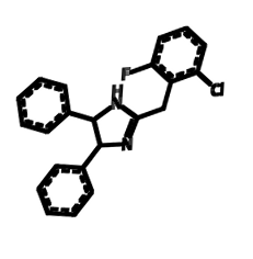 Fc1cccc(Cl)c1CC1=NC(c2ccccc2)C(c2ccccc2)N1